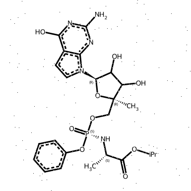 CC(C)OC(=O)[C@H](C)N[P@](=O)(OC[C@@]1(C)O[C@@H](n2ccc3c(O)nc(N)nc32)C(O)C1O)Oc1ccccc1